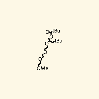 COCCOCCOCCOC(COC(=O)C(C)(C)C)CC(C)(C)C